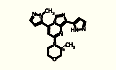 C[C@@H]1COCCN1c1cc(-c2ccnn2C)n2cnc(-c3ccn[nH]3)c2n1